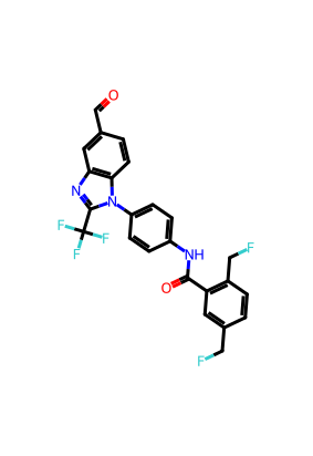 O=Cc1ccc2c(c1)nc(C(F)(F)F)n2-c1ccc(NC(=O)c2cc(CF)ccc2CF)cc1